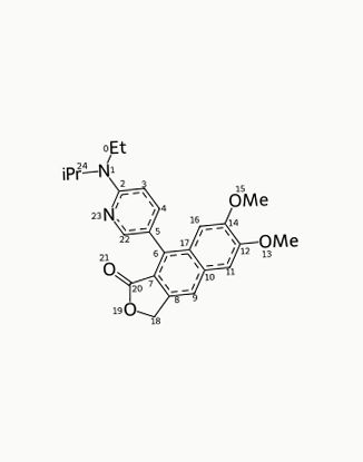 CCN(c1ccc(-c2c3c(cc4cc(OC)c(OC)cc24)COC3=O)cn1)C(C)C